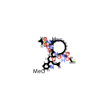 COc1ccc2c3c(c(C4CC4)nc2c1)O[C@]1(CC3)C[C@H]2C(=O)N[C@]3(C(=O)NS(=O)(=O)C4(C)CC4)C[C@H]3/C=C\CCCCC[C@H](NC(=O)OCCF)C(=O)N2C1